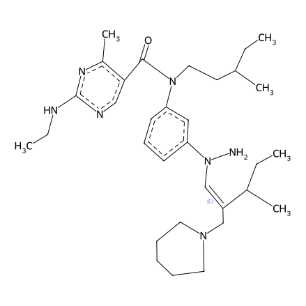 CCNc1ncc(C(=O)N(CCC(C)CC)c2cccc(N(N)/C=C(/CN3CCCCC3)C(C)CC)c2)c(C)n1